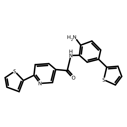 Nc1ccc(-c2cccs2)cc1NC(=O)c1ccc(-c2cccs2)nc1